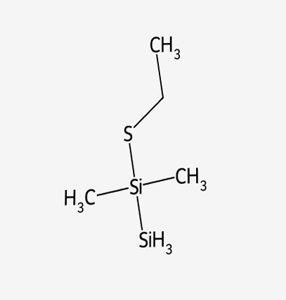 CCS[Si](C)(C)[SiH3]